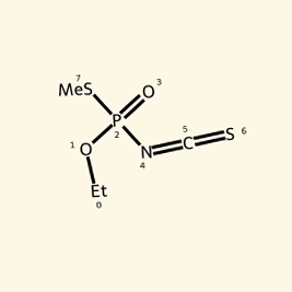 CCOP(=O)(N=C=S)SC